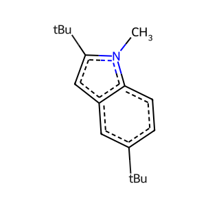 Cn1c(C(C)(C)C)cc2cc(C(C)(C)C)ccc21